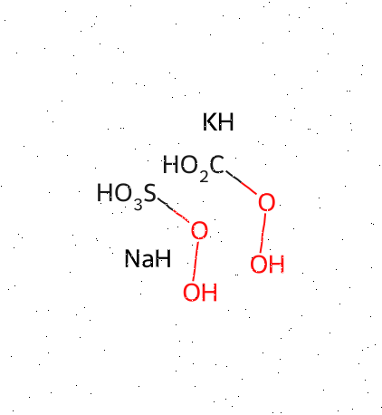 O=C(O)OO.O=S(=O)(O)OO.[KH].[NaH]